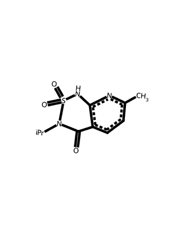 Cc1ccc2c(n1)NS(=O)(=O)N(C(C)C)C2=O